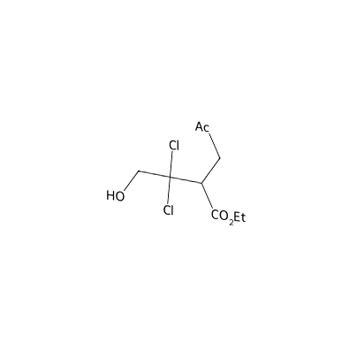 CCOC(=O)C(CC(C)=O)C(Cl)(Cl)CO